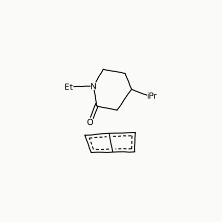 CCN1CCC(C(C)C)CC1=O.c1cc2ccc1-2